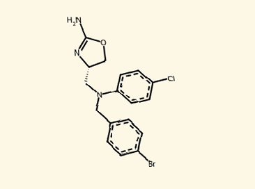 NC1=N[C@@H](CN(Cc2ccc(Br)cc2)c2ccc(Cl)cc2)CO1